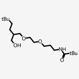 CC(C)(C)CCC(CO)COCCOCCCNC(=O)C(C)(C)C